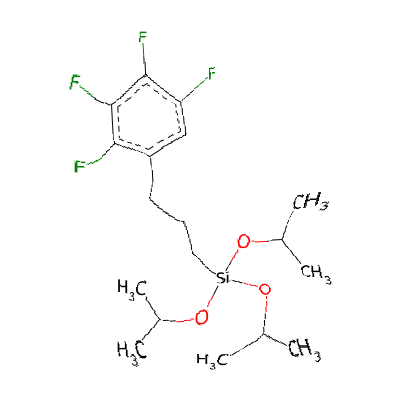 CC(C)O[Si](CCCc1cc(F)c(F)c(F)c1F)(OC(C)C)OC(C)C